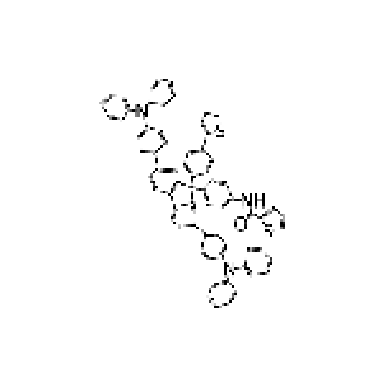 O=C(Nc1ccc(C2(c3ccc(C4=CCCS4)cc3)c3cc(-c4ccc(N(c5ccccc5)c5ccccc5)cc4)ccc3-c3ccc(-c4ccc(N(c5ccccc5)c5ccccc5)cc4)cc32)cc1)c1cccs1